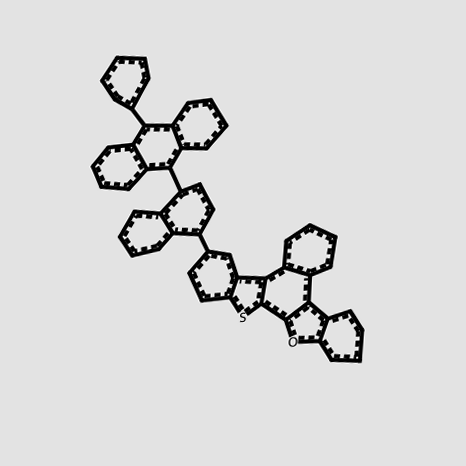 c1ccc(-c2c3ccccc3c(-c3ccc(-c4ccc5sc6c7oc8ccccc8c7c7ccccc7c6c5c4)c4ccccc34)c3ccccc23)cc1